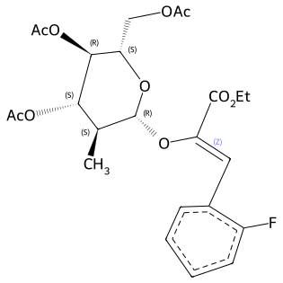 CCOC(=O)/C(=C/c1ccccc1F)O[C@H]1O[C@@H](COC(C)=O)[C@H](OC(C)=O)[C@@H](OC(C)=O)[C@@H]1C